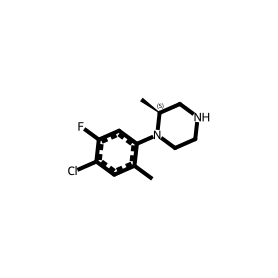 Cc1cc(Cl)c(F)cc1N1CCNC[C@@H]1C